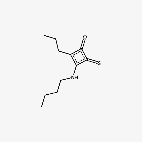 CCCCNc1c(CCC)c(=O)c1=S